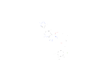 Cn1cc(-c2cnc(N)c(C(=O)N[C@H]3CCC[C@@H]3OCc3cc(F)c(F)cc3F)c2)cn1